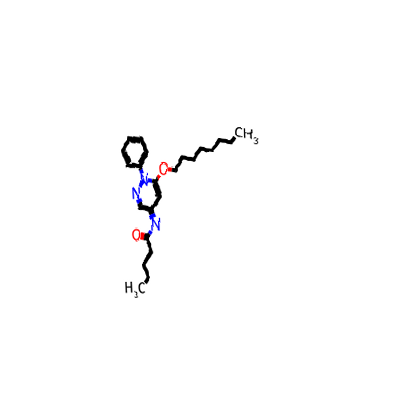 CCCCCCCCOc1cc(=NC(=O)CCCC)cnn1-c1ccccc1